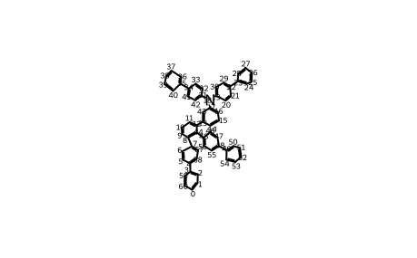 c1ccc(-c2ccc(-c3cccc(-c4cccc(N(c5ccc(-c6ccccc6)cc5)c5ccc(-c6ccccc6)cc5)c4)c3-c3ccc(-c4ccccc4)cc3)cc2)cc1